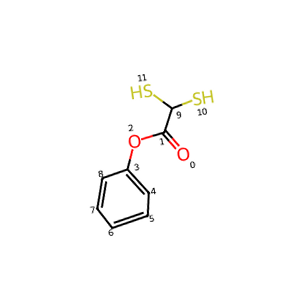 O=C(Oc1ccccc1)C(S)S